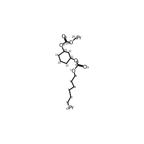 CC(C)CCCCCCOC(=O)OC1CCCC(OC(=O)OC(C)C)C1